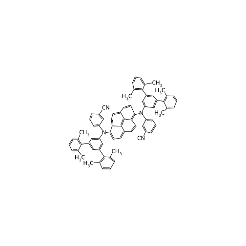 [C-]#[N+]c1cccc(N(c2cc(-c3c(C)cccc3C)cc(-c3c(C)cccc3C)c2)c2ccc3ccc4c(N(c5cccc(C#N)c5)c5cc(-c6c(C)cccc6C)cc(-c6c(C)cccc6C)c5)ccc5ccc2c3c54)c1